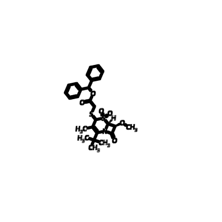 CO[C@H]1C(=O)N2C(C(C)(C)C)=C(C)C(SCC(=O)OC(c3ccccc3)c3ccccc3)S(=O)(=O)[C@@H]12